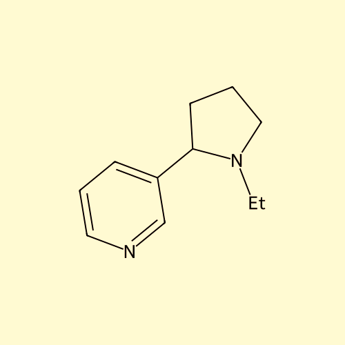 CCN1CCCC1c1cccnc1